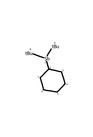 C[C](C)(C)[Sb]([CH]1CCCCC1)[C](C)(C)C